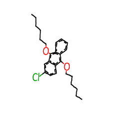 CCCCCCOc1c2ccccc2c(OCCCCCC)c2cc(Cl)ccc12